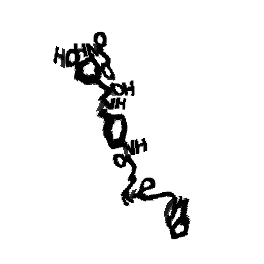 CN(CCCCC(=O)Nc1ccc(CNC[C@H](O)c2ccc(O)c3c2OCC(=O)N3)cc1)C(=O)CCN1CC2CCCC2C1